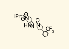 CC(C)CS(=O)(=O)N1CCc2c(C(=O)N3CCC(c4ccccc4C(F)(F)F)CC3)n[nH]c2C1